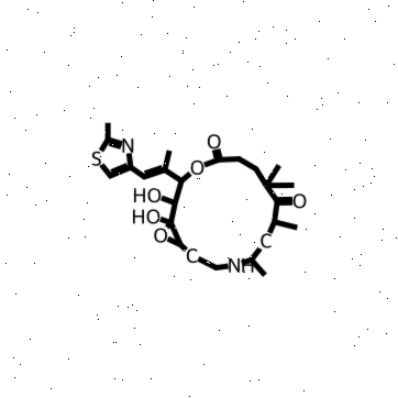 CC(=Cc1csc(C)n1)C1OC(=O)CCC(C)(C)C(=O)C(C)CC(C)NCCC2OC2(O)C1O